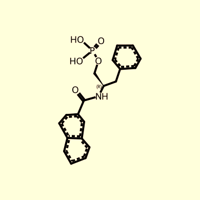 O=C(N[C@@H](COP(=O)(O)O)Cc1ccccc1)c1ccc2ccccc2c1